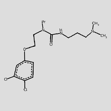 CC(C)N(CCOc1ccc(Cl)c(Cl)c1)C(=O)NCCCN(C)C